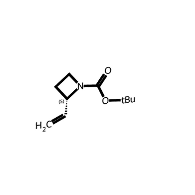 C=C[C@@H]1CCN1C(=O)OC(C)(C)C